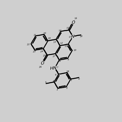 Cc1ccc(C)c(Nc2ccc3c4c(cc(=O)n3C)-c3ccccc3C(=O)c24)c1